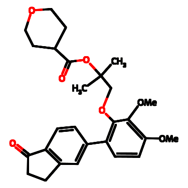 COc1ccc(-c2ccc3c(c2)CCC3=O)c(OCC(C)(C)OC(=O)C2CCOCC2)c1OC